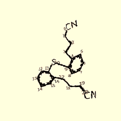 N#CCCCc1ccccc1Sc1ccccc1CCCC#N